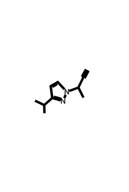 C#CC(C)n1ccc(C(C)C)n1